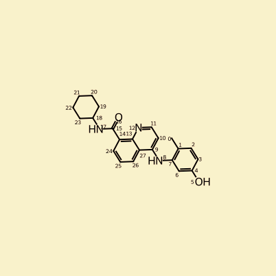 Cc1ccc(O)cc1Nc1ccnc2c(C(=O)NC3CCCCC3)cccc12